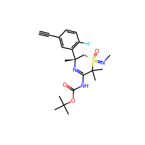 C#Cc1ccc(F)c([C@]2(C)C[S@](=O)(=NC)C(C)(C)C(NC(=O)OC(C)(C)C)=N2)c1